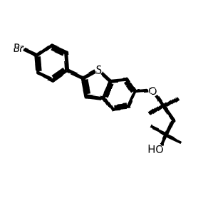 CC(C)(O)CC(C)(C)Oc1ccc2cc(-c3ccc(Br)cc3)sc2c1